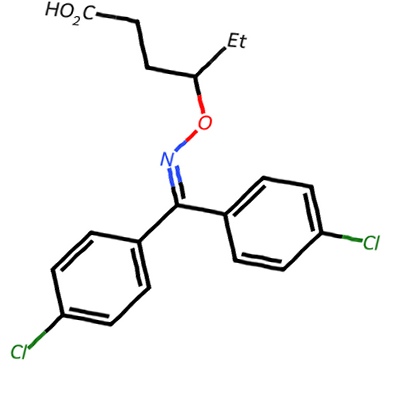 CCC(CCC(=O)O)ON=C(c1ccc(Cl)cc1)c1ccc(Cl)cc1